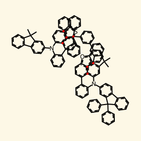 CC1(C)c2ccccc2-c2ccc(N(c3ccc4c(c3)C(c3ccccc3)(c3ccccc3)c3ccccc3-4)c3ccccc3-c3ccc4oc5c(-c6cccc(C7(c8ccccc8)c8ccccc8-c8ccc(N(c9ccc%10c(c9)C(C)(C)c9ccccc9-%10)c9ccccc9-c9ccc%10sc%11ccccc%11c%10c9)cc87)c6)cccc5c4c3)cc21